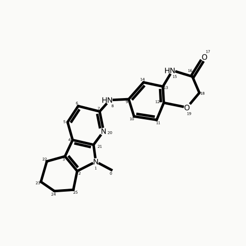 Cn1c2c(c3ccc(Nc4ccc5c(c4)NC(=O)CO5)nc31)CCCC2